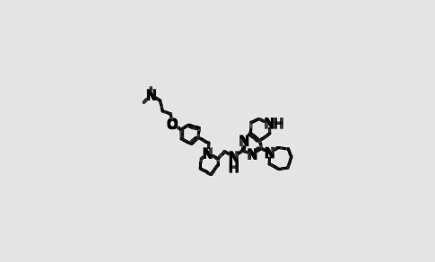 CN(C)CCCOc1ccc(CN2CCCCC2CNc2nc3c(c(N4CCCCCC4)n2)CNCC3)cc1